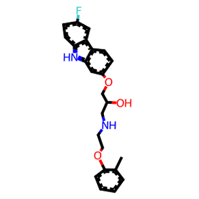 Cc1ccccc1OCCNCC(O)COc1ccc2c(c1)[nH]c1ccc(F)cc12